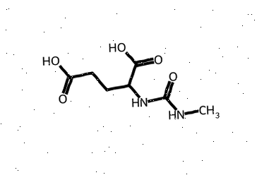 CNC(=O)NC(CCC(=O)O)C(=O)O